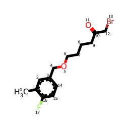 Cc1cc(COCCCCC(=O)CBr)ccc1F